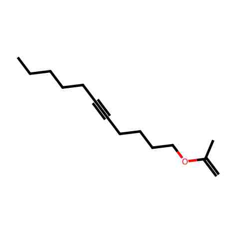 C=C(C)OCCCCC#CCCCCC